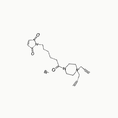 C#CC[N+]1(CC#C)CCN(C(=O)CCCCCN2C(=O)C=CC2=O)CC1.[Br-]